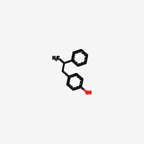 CC(Cc1ccc(O)cc1)c1ccccc1